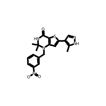 Cc1[nH]ncc1-c1cc2c(s1)C(=O)NC(C)(C)N2Cc1cccc([N+](=O)[O-])c1